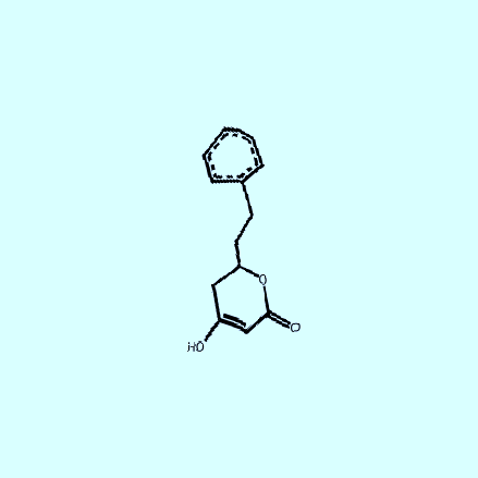 O=C1C=C(O)CC(CCc2ccccc2)O1